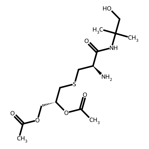 CC(=O)OC[C@H](CSC[C@H](N)C(=O)NC(C)(C)CO)OC(C)=O